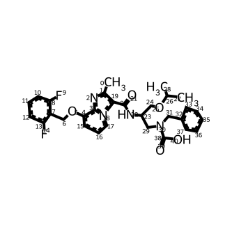 Cc1nc2c(OCc3c(F)cccc3F)cccn2c1C(=O)NC(COC(C)C)CN(Cc1ccccc1)C(=O)O